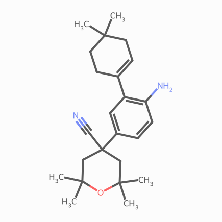 CC1(C)CC=C(c2cc(C3(C#N)CC(C)(C)OC(C)(C)C3)ccc2N)CC1